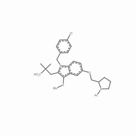 CC(=O)N1CCCC1COc1ccc2c(c1)c(SC(C)(C)C)c(CC(C)(C)C(=O)O)n2Cc1ccc(Cl)cc1